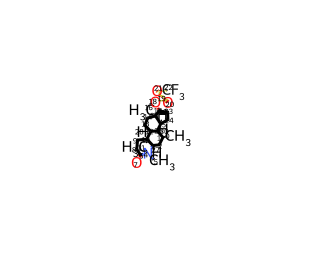 C[C@H]1C[C@H]2N(C)C(=O)CC[C@]2(C)[C@H]2CC[C@]3(C)C(OS(=O)(=O)C(F)(F)F)=CC[C@H]3[C@H]12